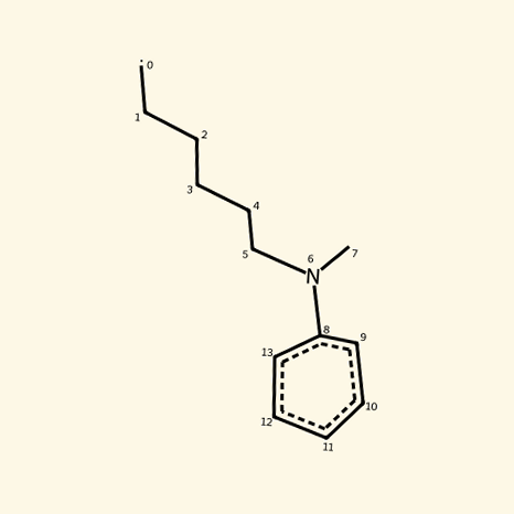 [CH2]CCCCCN(C)c1ccccc1